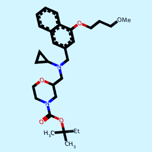 CCC(C)(C)OC(=O)N1CCOC(CN(Cc2cc(OCCCOC)c3ccccc3c2)C2CC2)C1